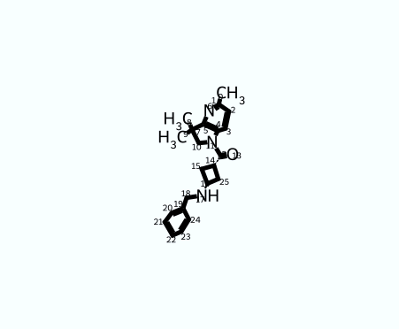 Cc1ccc2c(n1)C(C)(C)CN2C(=O)[C@H]1C[C@@H](NCc2ccccc2)C1